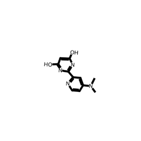 CN(C)c1ccnc(-c2nc(O)cc(O)n2)c1